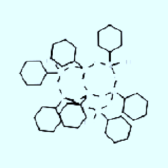 O[Si]1(C2CCCCC2)O[Si]2(C3CCCCC3)O[Si](O)(C3CCCCC3)O[Si]3(C4CCCCC4)O[Si](O)(C4CCCCC4)O[Si](C4CCCCC4)(O1)O[Si](C1CCCCC1)(O2)O3